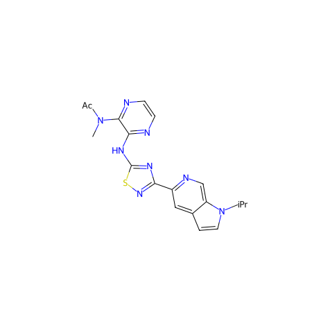 CC(=O)N(C)c1nccnc1Nc1nc(-c2cc3ccn(C(C)C)c3cn2)ns1